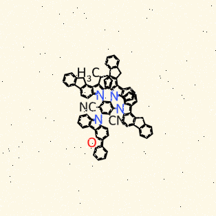 CC1CC=Cc2c1c1c3c(ccc1n2-c1c(C#N)c(-n2c4ccccc4c4c5oc6ccccc6c5ccc42)c(C#N)c(-n2c4ccccc4c4c5c(ccc42)-c2ccccc2C5)c1-n1c2ccccc2c2c4c(ccc21)-c1ccccc1C4)-c1ccccc1C3